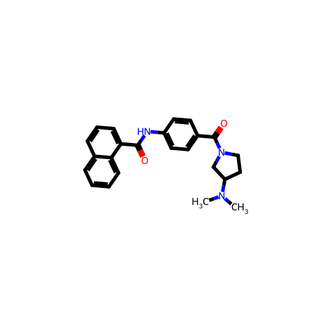 CN(C)C1CCN(C(=O)c2ccc(NC(=O)c3cccc4ccccc34)cc2)C1